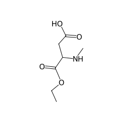 CCOC(=O)C(CC(=O)O)NC